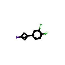 Fc1ccc(C23CC(I)(C2)C3)cc1F